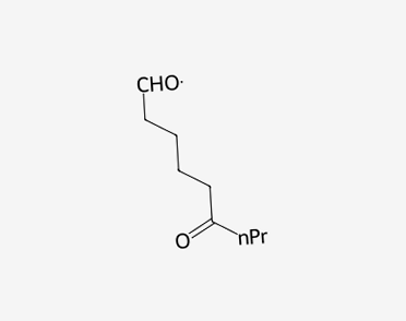 CCCC(=O)CCCC[C]=O